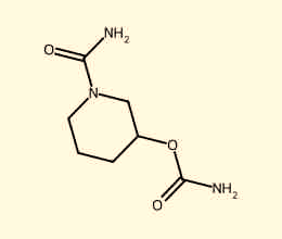 NC(=O)OC1CCCN(C(N)=O)C1